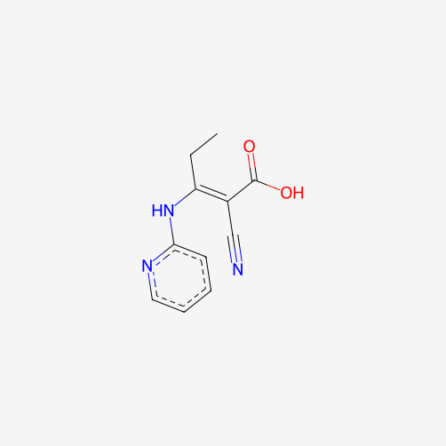 CCC(Nc1ccccn1)=C(C#N)C(=O)O